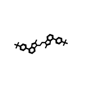 CC1=Cc2c(-c3ccc(C(C)(C)C)cc3)cccc2C1CCC1C(C)=Cc2c(-c3ccc(C(C)(C)C)cc3)cccc21